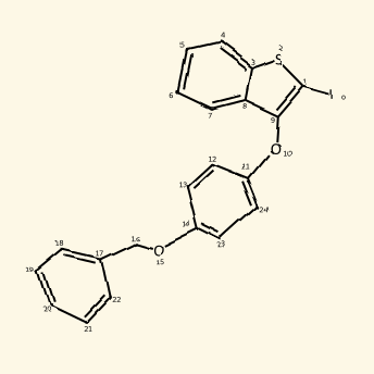 Ic1sc2ccccc2c1Oc1ccc(OCc2ccccc2)cc1